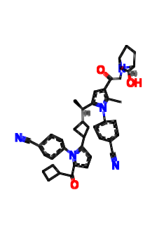 Cc1c(C(=O)CN2C3CCC2[C@@H](O)C3)cc([C@H](C)C2CC(c3ccc(C(=O)C4CCC4)n3-c3ccc(C#N)cc3)C2)n1-c1ccc(C#N)cc1